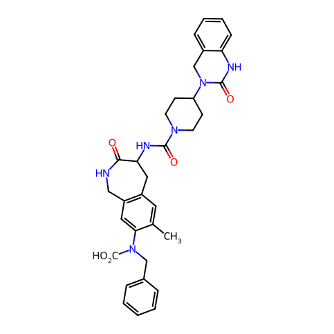 Cc1cc2c(cc1N(Cc1ccccc1)C(=O)O)CNC(=O)C(NC(=O)N1CCC(N3Cc4ccccc4NC3=O)CC1)C2